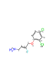 NCC=C(F)COc1ccc(Cl)cc1Cl